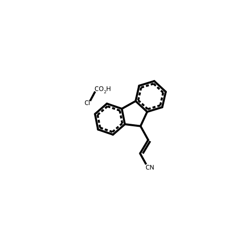 N#CC=CC1c2ccccc2-c2ccccc21.O=C(O)Cl